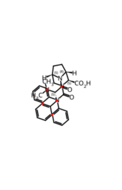 CN(C)[C@@H](Cc1ccccc1)C(=O)N1[C@H]2CC[C@@H]1[C@@H](C(=O)O)N(C(=O)N(c1ccccc1)c1ccccc1)C2